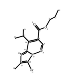 CCCOC(=O)c1cnn2c(Br)c(C)nc2c1C(C)C